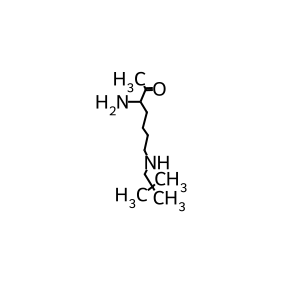 CC(=O)C(N)CCCCNCC(C)(C)C